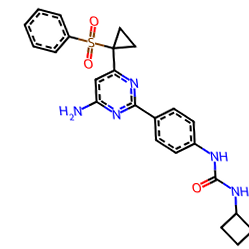 Nc1cc(C2(S(=O)(=O)c3ccccc3)CC2)nc(-c2ccc(NC(=O)NC3CCC3)cc2)n1